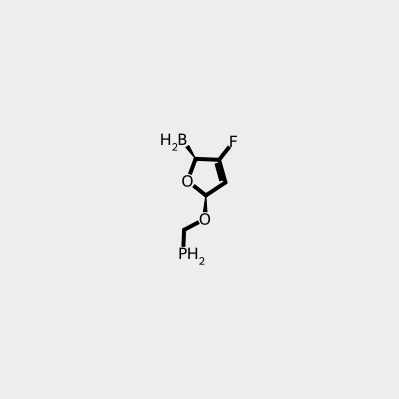 B[C@@H]1O[C@H](OCP)C=C1F